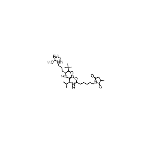 CC1CC(=O)N(CCCCCC(=O)N[C@H](C(=O)N[C@@H](CCCNC(N)O)C(=O)C(C)(C)C)C(C)C)C1=O